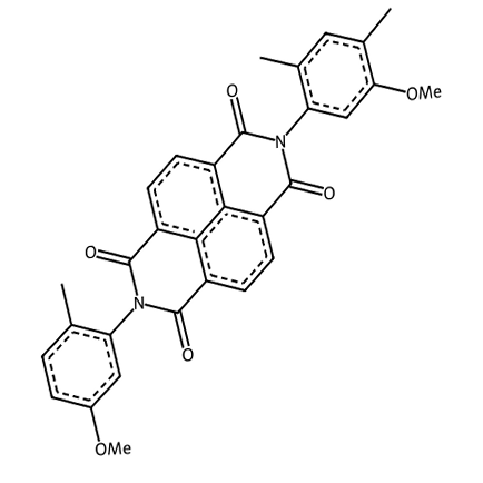 COc1ccc(C)c(N2C(=O)c3ccc4c5c(ccc(c35)C2=O)C(=O)N(c2cc(OC)c(C)cc2C)C4=O)c1